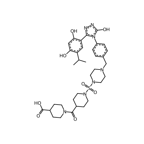 CC(C)c1cc(-c2nnc(O)n2-c2ccc(CN3CCN(S(=O)(=O)N4CCC(C(=O)N5CCC(C(=O)O)CC5)CC4)CC3)cc2)c(O)cc1O